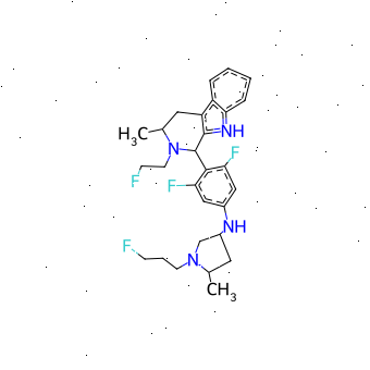 CC1CC(Nc2cc(F)c(C3c4[nH]c5ccccc5c4CC(C)N3CCF)c(F)c2)CN1CCCF